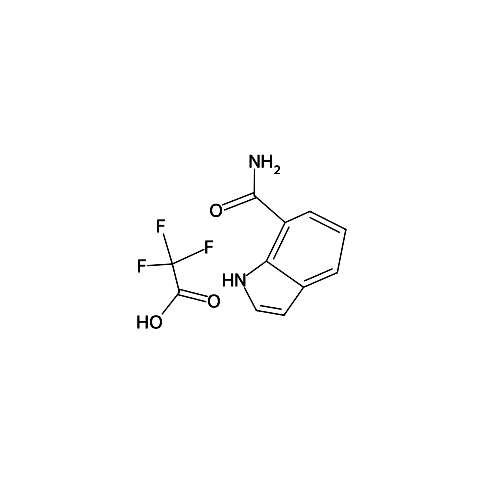 NC(=O)c1cccc2cc[nH]c12.O=C(O)C(F)(F)F